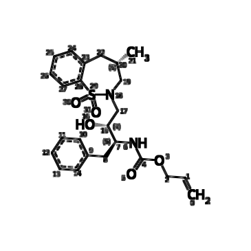 C=CCOC(=O)N[C@@H](Cc1ccccc1)[C@H](O)CN1C[C@@H](C)Cc2ccccc2S1(=O)=O